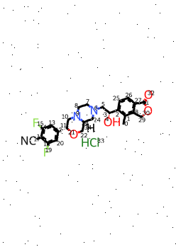 Cc1c([C@H](O)CN2CCN3C[C@@H](c4cc(F)c(C#N)c(F)c4)OC[C@@H]3C2)ccc2c1COC2=O.Cl